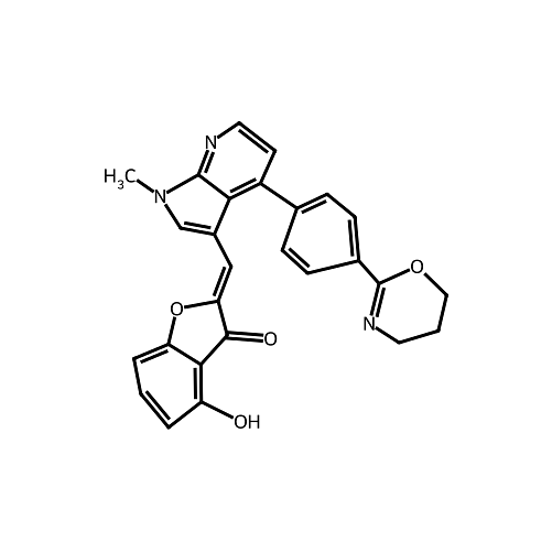 Cn1cc(/C=C2\Oc3cccc(O)c3C2=O)c2c(-c3ccc(C4=NCCCO4)cc3)ccnc21